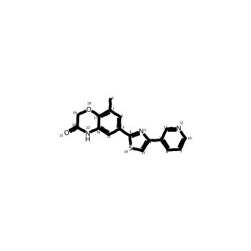 Cc1cc(-c2nc(-c3cccnc3)cs2)cc2c1OCC(=O)N2